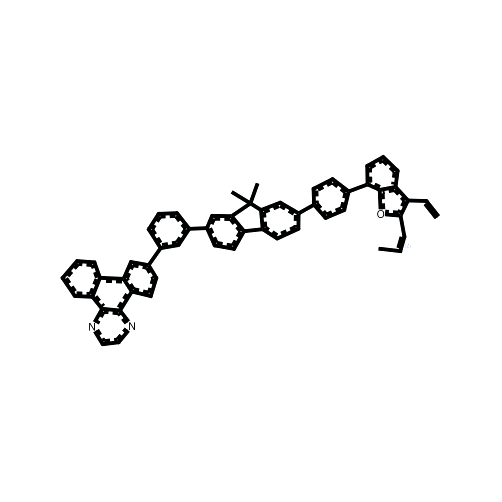 C=Cc1c(/C=C\C)oc2c(-c3ccc(-c4ccc5c(c4)C(C)(C)c4cc(-c6cccc(-c7ccc8c(c7)c7ccccc7c7nccnc87)c6)ccc4-5)cc3)cccc12